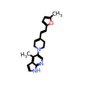 Cc1ccc(C=CC2=CCN(c3cnc4[nH]ccc4c3C)CC2)o1